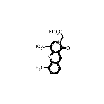 CCOC(=O)Cn1cc(C(=O)O)c2nc3c(C)cccc3cc2c1=O